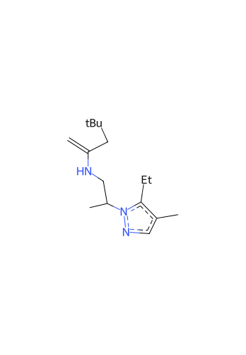 C=C(CC(C)(C)C)NCC(C)n1ncc(C)c1CC